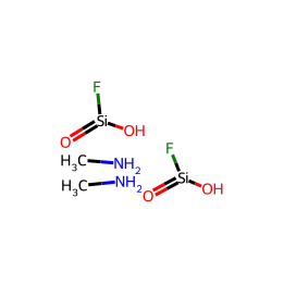 CN.CN.O=[Si](O)F.O=[Si](O)F